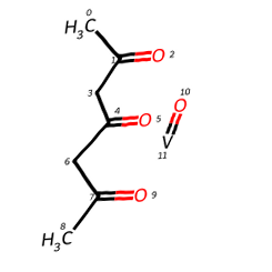 CC(=O)CC(=O)CC(C)=O.[O]=[V]